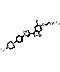 COCCOc1cc2[nH]nc(-c3cn(-c4ccc(N5CCN(C)CC5)cc4)nn3)c2cc1F